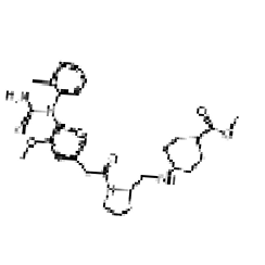 COC(=O)C1CCC(NCC2CCCN2C(=O)Cc2ccc(N(C(N)=O)c3ccccc3C)c(OC)c2)CC1